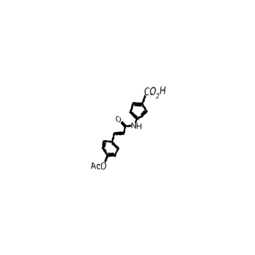 CC(=O)Oc1ccc(C=CC(=O)Nc2ccc(C(=O)O)cc2)cc1